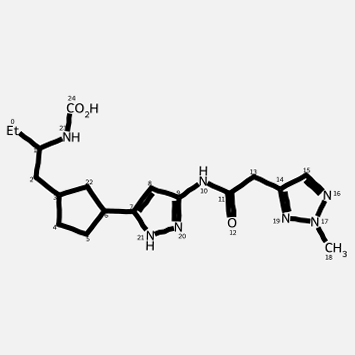 CCC(CC1CCC(c2cc(NC(=O)Cc3cnn(C)n3)n[nH]2)C1)NC(=O)O